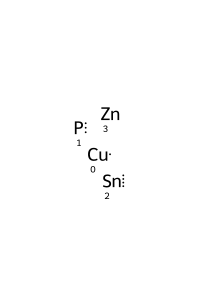 [Cu].[P].[Sn].[Zn]